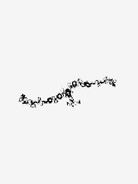 C=CC(=O)OC(C)COC(=O)CCC(=O)OCCc1ccc(OC(=O)[C@H]2CC[C@H](C(=O)Oc3ccc(OC(=O)[C@H]4CC[C@H](C(=O)Oc5ccc(CCOC(=O)CCC(=O)OCC(C)OC(=O)C=C)cc5)CC4)c4c3SC(=C(C#N)C#N)S4)CC2)cc1